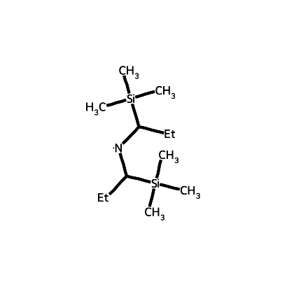 CCC([N]C(CC)[Si](C)(C)C)[Si](C)(C)C